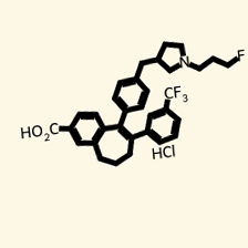 Cl.O=C(O)c1ccc2c(c1)CCCC(c1cccc(C(F)(F)F)c1)=C2c1ccc(CC2CCN(CCCF)C2)cc1